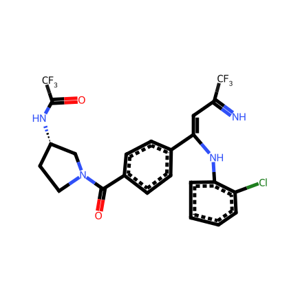 N=C(/C=C(\Nc1ccccc1Cl)c1ccc(C(=O)N2CC[C@H](NC(=O)C(F)(F)F)C2)cc1)C(F)(F)F